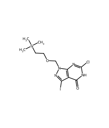 C[Si](C)(C)CCOCn1nc(I)c2c(=O)[nH]c(Cl)nc21